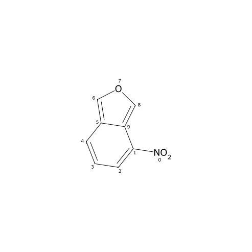 O=[N+]([O-])c1cc[c]c2cocc12